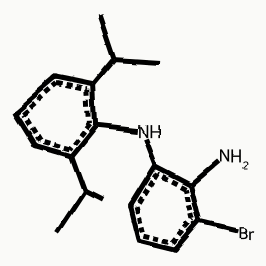 CC(C)c1cccc(C(C)C)c1Nc1cccc(Br)c1N